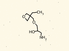 CCC1(COCC(O)CN)COC1